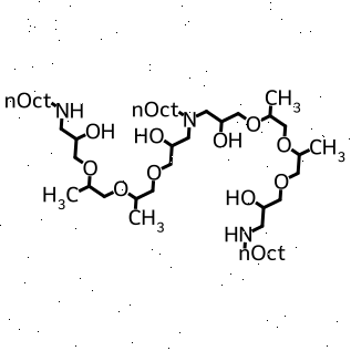 CCCCCCCCNCC(O)COCC(C)OCC(C)OCC(O)CN(CCCCCCCC)CC(O)COCC(C)OCC(C)OCC(O)CNCCCCCCCC